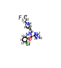 Cn1cnc(C(=O)N(Cc2cccc(Cl)c2)CC2C3CN(CCC(F)(F)F)CC32)c1